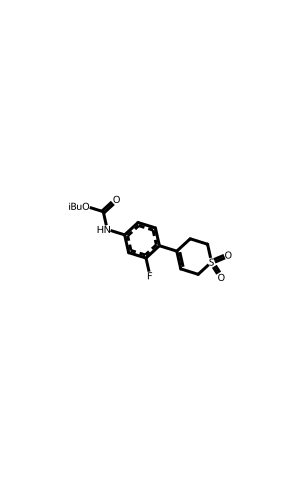 CC(C)COC(=O)Nc1ccc(C2=CCS(=O)(=O)CC2)c(F)c1